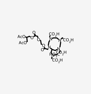 CC(=O)OCC(COC(=O)COCCOC(=O)CN1CCN(CC(=O)O)CCN(CC(=O)O)CCN(CC(=O)O)CC1CN(CC(=O)O)CC(=O)O)OC(C)=O